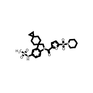 CS(=O)(=O)Nc1ccc2c(c1)C1(CCC3(CC3)CC1)CN2C(=O)c1ccc(S(=O)(=O)N2CCCCC2)o1